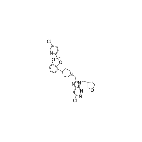 CC1(c2ccc(Cl)cn2)Oc2cccc(C3CCN(Cc4nc5cc(Cl)nnc5n4CC4CCOC4)CC3)c2O1